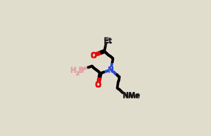 BCC(=O)N(CCNC)CC(=O)CC